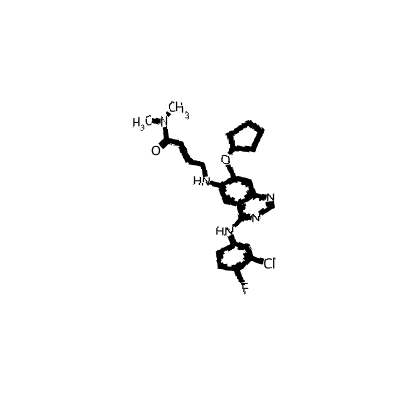 CN(C)C(=O)C=CCNc1cc2c(Nc3ccc(F)c(Cl)c3)ncnc2cc1OC1CCCC1